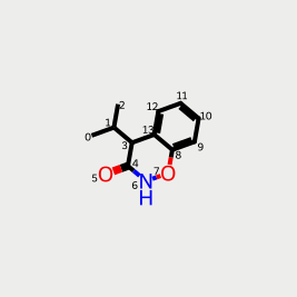 CC(C)C1C(=O)NOc2ccccc21